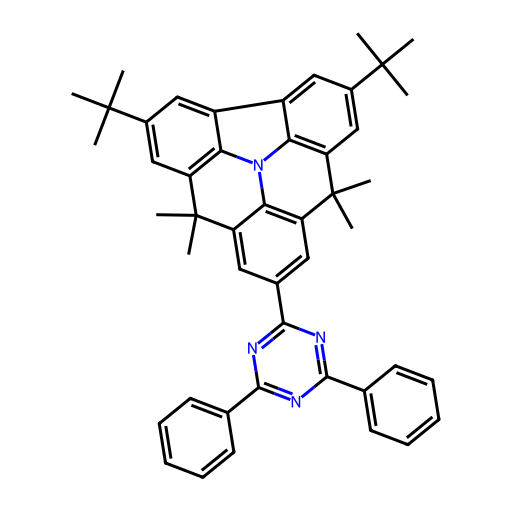 CC(C)(C)c1cc2c3c(c1)c1cc(C(C)(C)C)cc4c1n3-c1c(cc(-c3nc(-c5ccccc5)nc(-c5ccccc5)n3)cc1C4(C)C)C2(C)C